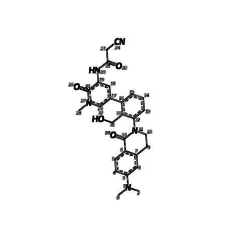 CN(C)c1ccc2c(c1)CCN(c1cccc(-c3cc(NC(=O)CC#N)c(=O)n(C)c3)c1CO)C2=O